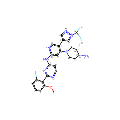 COc1cccc(F)c1-c1nccc(Nc2cc(N3CC[C@@H](N)[C@@H](F)C3)c(-c3cnn(C(F)F)c3)cn2)n1